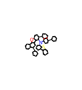 c1ccc(-c2ccc(N(c3cccc4c3sc3ccccc34)c3c(-c4ccccc4)ccc4oc5c6ccccc6c(-c6ccccc6)cc5c34)cc2)cc1